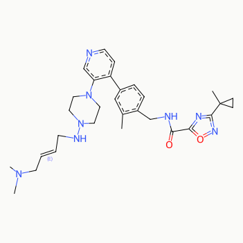 Cc1cc(-c2ccncc2N2CCN(NC/C=C/CN(C)C)CC2)ccc1CNC(=O)c1nc(C2(C)CC2)no1